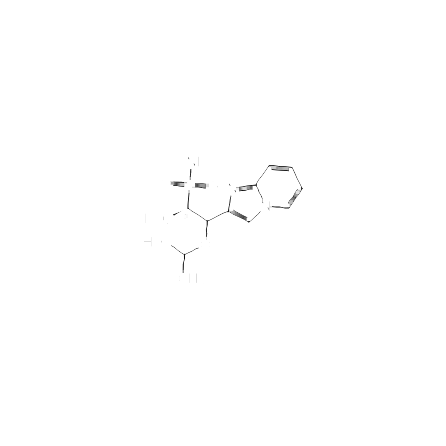 CC(C)OC(c1cn2ccccc2n1)[C@@H](C)S(N)(=O)=O